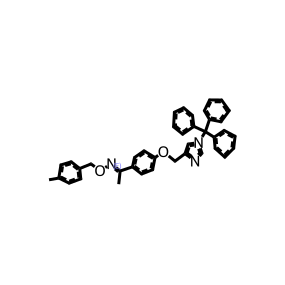 C/C(=N\OCc1ccc(C)cc1)c1ccc(OCc2cn(C(c3ccccc3)(c3ccccc3)c3ccccc3)cn2)cc1